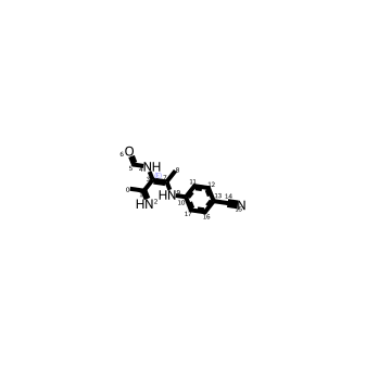 CC(=N)/C(NC=O)=C(/C)Nc1ccc(C#N)cc1